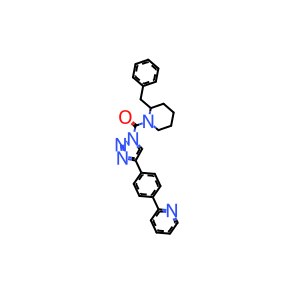 O=C(N1CCCCC1Cc1ccccc1)n1cc(-c2ccc(-c3ccccn3)cc2)nn1